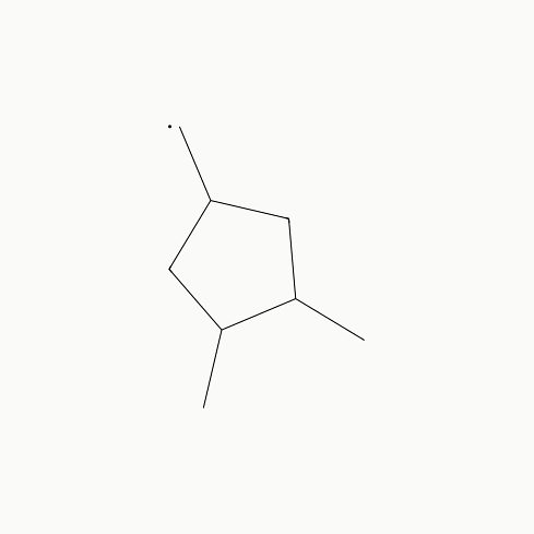 [CH2]C1CC(C)C(C)C1